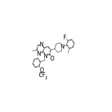 Cc1cnc2cc(C3CCN(c4c(C)cccc4F)CC3)c(=O)n(Cc3ccccc3OC(F)(F)F)c2n1